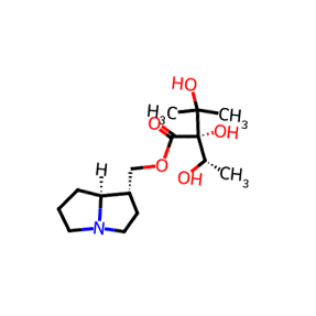 C[C@H](O)[C@@](O)(C(=O)OC[C@@H]1CCN2CCC[C@@H]12)C(C)(C)O